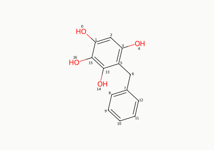 Oc1cc(O)c(Cc2ccccc2)c(O)c1O